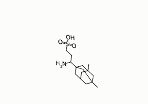 CC12CC3CC(C)(C1)CC(C(N)CCS(=O)(=O)O)(C3)C2